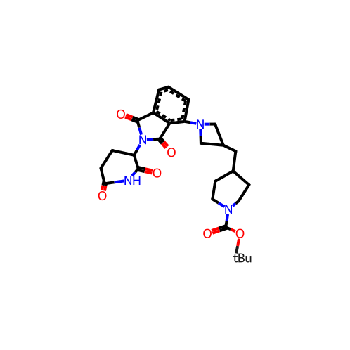 CC(C)(C)OC(=O)N1CCC(CC2CN(c3cccc4c3C(=O)N(C3CCC(=O)NC3=O)C4=O)C2)CC1